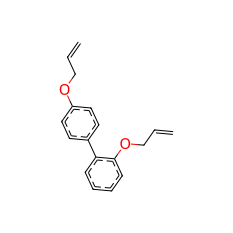 C=CCOc1ccc(-c2ccccc2OCC=C)cc1